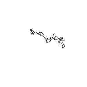 CS(=O)(=O)CCNCc1cccc(-c2cc3nccc(Oc4ccc(NC(=S)NC(=O)Cc5ccccc5)cc4F)c3s2)c1